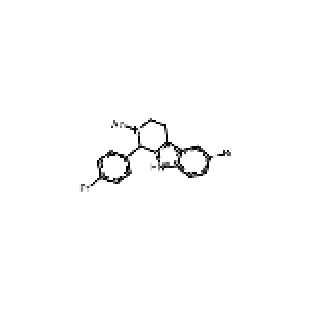 CC(=O)N1CCc2c([nH]c3ccc(Br)cc23)C1c1ccc(C(C)C)cc1